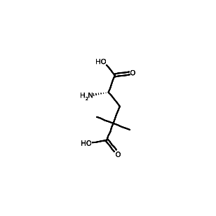 CC(C)(C[C@H](N)C(=O)O)C(=O)O